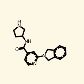 O=C(NC1CCNC1)c1ccnc(N2Cc3ccccc3C2)c1